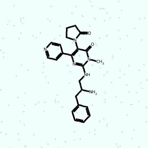 Cn1c(NCC(N)Cc2ccccc2)nc(-c2ccncc2)c(N2CCCC2=O)c1=O